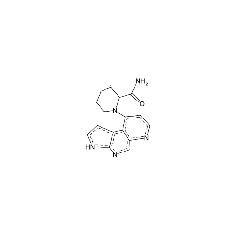 NC(=O)C1[CH]CCCN1c1ccnc2cnc3[nH]ccc3c12